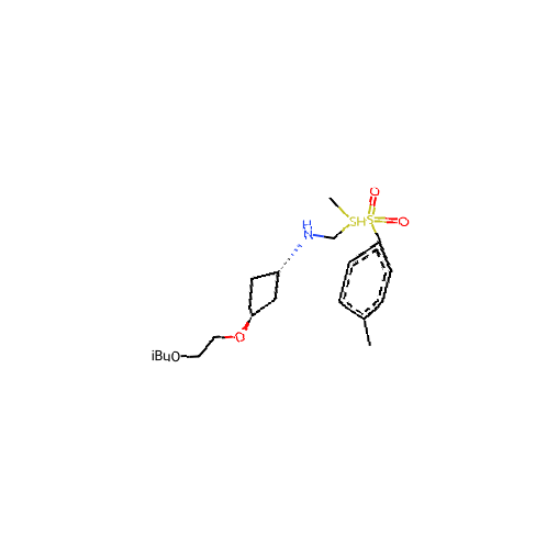 Cc1ccc(S(=O)(=O)[SH](C)CN[C@H]2C[C@H](OCCOCC(C)C)C2)cc1